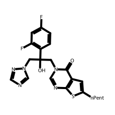 CCCCCc1cc2c(=O)n(CC(O)(Cn3cncn3)c3ccc(F)cc3F)cnc2s1